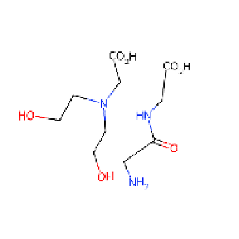 NCC(=O)NCC(=O)O.O=C(O)CN(CCO)CCO